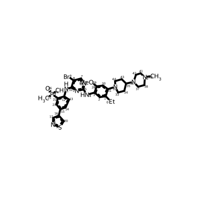 CCc1cc(Nc2ncc(Br)c(Nc3ccc(-c4cnsc4)cc3P(C)(C)=O)n2)c(OC)cc1N1CCC(N2CCN(C)CC2)CC1